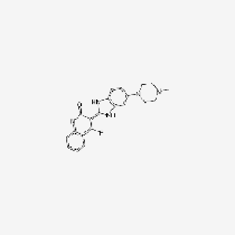 CN1CCN(c2ccc3c(c2)NC(=C2C(=O)N=c4ccccc4=C2F)N3)CC1